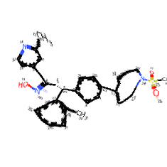 Cc1cc(/C(C[C@H](c2ccc(C3=CCN(S(C)(=O)=O)CC3)cc2)c2ccccc2C)=N\O)ccn1